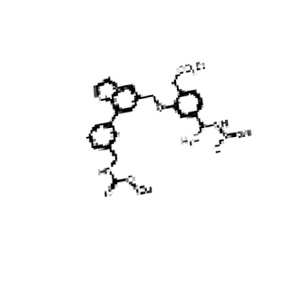 CCOC(=O)Cc1ccc(C(C)N[S+]([O-])C(C)(C)C)cc1OCc1cc(-c2cccc(CNC(=O)OC(C)(C)C)c2)c2occc2c1